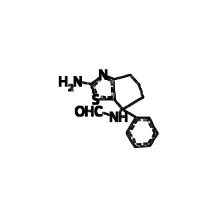 Nc1nc2c(s1)C(NC=O)(c1ccccc1)CCC2